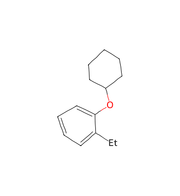 [CH2]Cc1ccccc1OC1CCCCC1